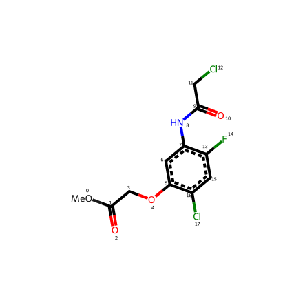 COC(=O)COc1cc(NC(=O)CCl)c(F)cc1Cl